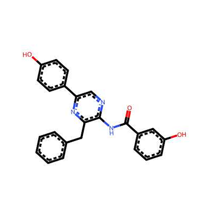 O=C(Nc1ncc(-c2ccc(O)cc2)nc1Cc1ccccc1)c1cccc(O)c1